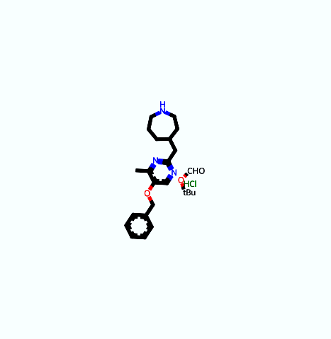 CC(C)(C)OC=O.Cc1nc(CC2CCCNCC2)ncc1OCc1ccccc1.Cl